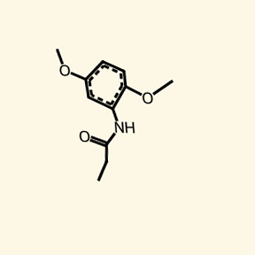 CCC(=O)Nc1cc(OC)ccc1OC